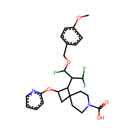 COc1ccc(COC(F)C(C(F)F)C2C(Oc3ccccn3)CC23CCN(C(=O)O)CC3)cc1